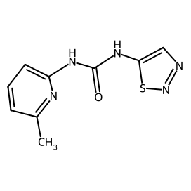 Cc1cccc(NC(=O)Nc2cnns2)n1